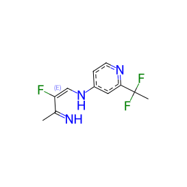 CC(=N)/C(F)=C\Nc1ccnc(C(C)(F)F)c1